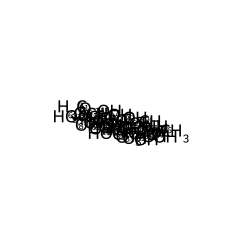 CO[C@@H]1OC(CO)[C@@H](O)C(O[C@@H]2OC(CO)[C@@H](O[C@@H]3OC(CO)[C@@H](OC)C(O[C@@H]4OC(C(=O)O)[C@@H](O[C@H]5OC(C)[C@@H](NC(=O)C[C@@H](C)O)[C@H](O)C5O)C(O)[C@@H]4O)C3O)C(O)[C@@H]2O)C1C